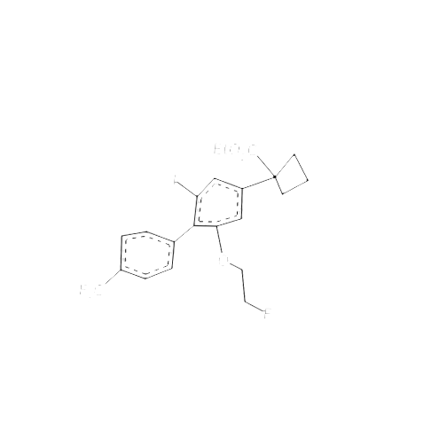 CCOC(=O)C1(c2cc(I)c(-c3ccc(C(F)(F)F)cc3)c(OCCF)c2)CCC1